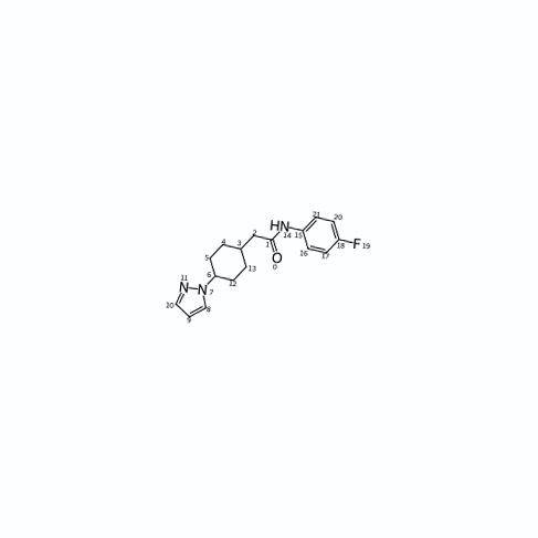 O=C(CC1CCC(n2cccn2)CC1)Nc1ccc(F)cc1